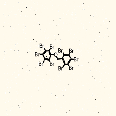 Brc1c(Br)c(Br)c(COc2c(Br)c(Br)c(Br)c(Br)c2Br)c(Br)c1Br